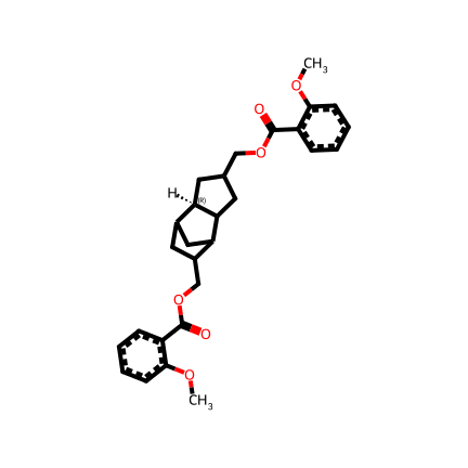 COc1ccccc1C(=O)OCC1CC2C3CC(CC3COC(=O)c3ccccc3OC)[C@H]2C1